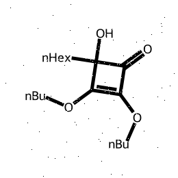 CCCCCCC1(O)C(=O)C(OCCCC)=C1OCCCC